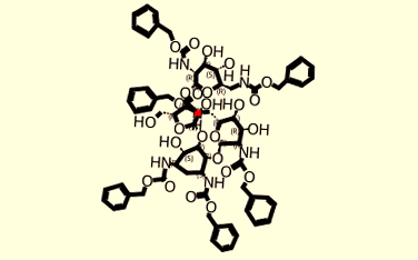 O=C(NC[C@H]1O[C@H](O[C@H]2[C@H](O[C@@H]3O[C@H](CO)[C@@H](O[C@H]4O[C@H](CNC(=O)OCc5ccccc5)[C@@H](O)[C@H](O)[C@H]4NC(=O)OCc4ccccc4)[C@H]3O)[C@@H](O)[C@H](NC(=O)OCc3ccccc3)C[C@@H]2NC(=O)OCc2ccccc2)[C@H](NC(=O)OCc2ccccc2)[C@@H](O)[C@@H]1O)OCc1ccccc1